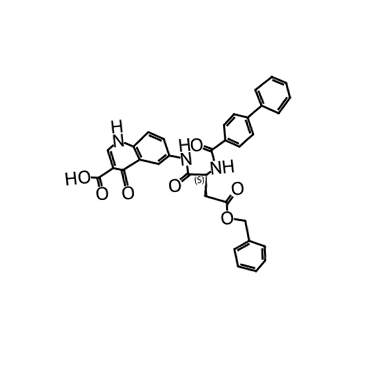 O=C(C[C@H](NC(=O)c1ccc(-c2ccccc2)cc1)C(=O)Nc1ccc2[nH]cc(C(=O)O)c(=O)c2c1)OCc1ccccc1